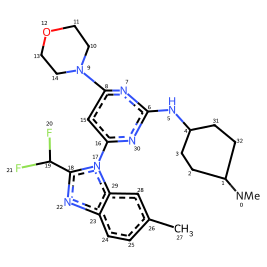 CNC1CCC(Nc2nc(N3CCOCC3)cc(-n3c(C(F)F)nc4ccc(C)cc43)n2)CC1